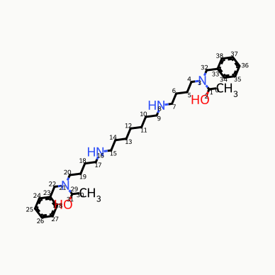 CC(O)N(CCCCNCCCCCCCNCCCCN(Cc1ccccc1)C(C)O)Cc1ccccc1